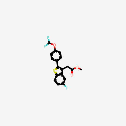 COC(=O)Cc1c(-c2ccc(OC(F)F)cc2)sc2ccc(F)cc12